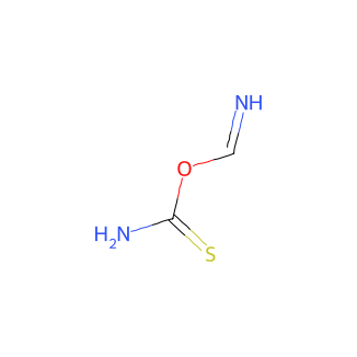 N=COC(N)=S